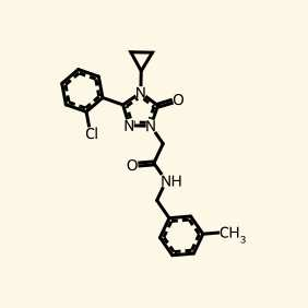 Cc1cccc(CNC(=O)Cn2nc(-c3ccccc3Cl)n(C3CC3)c2=O)c1